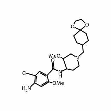 COc1cc(N)c(Cl)cc1C(=O)NC1CCN(CC2CCC3(CC2)OCCO3)CC1OC